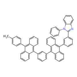 Cc1ccc(-c2c3ccccc3c(-c3cccc(-c4c5ccccc5c(-c5cccc(-c6nc7ccccc7n6-c6ccccc6)c5)c5ccccc45)c3)c3ccccc23)cc1